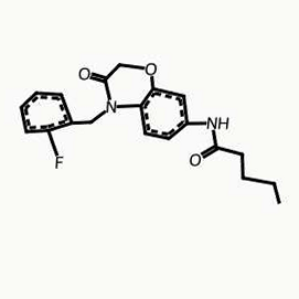 CCCCC(=O)Nc1ccc2c(c1)OCC(=O)N2Cc1ccccc1F